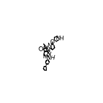 CCn1c(=O)c2cnc(Nc3ccc(-c4ccccc4)cc3)nc2n1-c1cccc(OC2CCNCC2)n1